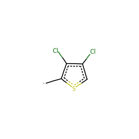 [CH2]c1scc(Cl)c1Cl